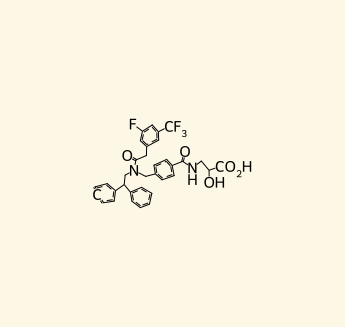 O=C(NCC(O)C(=O)O)c1ccc(CN(CC(c2ccccc2)c2ccccc2)C(=O)Cc2cc(F)cc(C(F)(F)F)c2)cc1